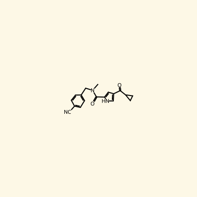 CN(Cc1ccc(C#N)cc1)C(=O)c1cc(C(=O)C2CC2)c[nH]1